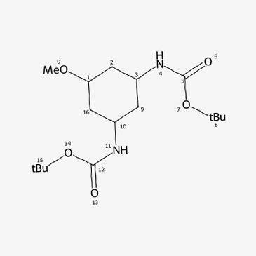 COC1CC(NC(=O)OC(C)(C)C)CC(NC(=O)OC(C)(C)C)C1